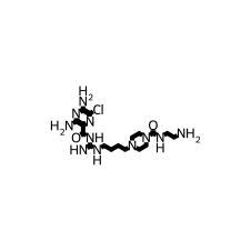 N=C(NCCCCN1CCN(C(=O)NCCN)CC1)NC(=O)c1nc(Cl)c(N)nc1N